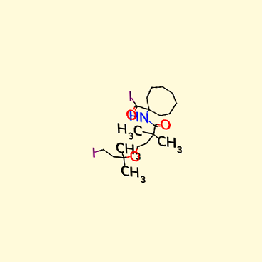 CC(C)(CCI)OCCC(C)(C)C(=O)NC1(C(=O)I)CCCCCCC1